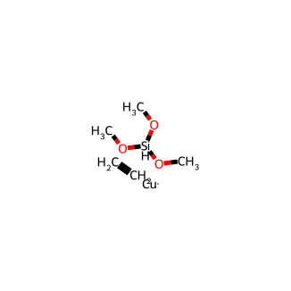 C=C.CO[SiH](OC)OC.[Cu]